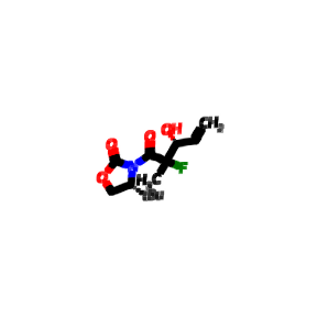 C=C[C@@H](O)C(C)(F)C(=O)N1C(=O)OC[C@H]1C(C)(C)C